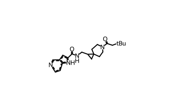 CC(C)(C)CC(=O)N1CCC2(CC1)CC2CNC(=O)c1cc2cnccc2[nH]1